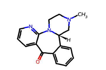 CN1CCN2c3ncccc3C(=O)c3ccccc3[C@H]2C1